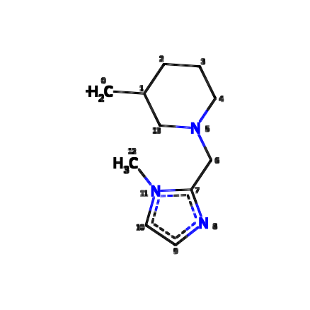 [CH2]C1CCCN(Cc2nccn2C)C1